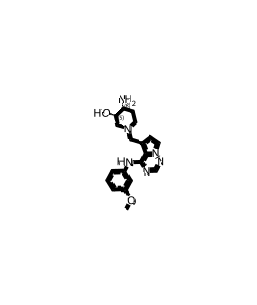 COc1cccc(Nc2ncnn3ccc(CN4CC[C@@H](N)[C@@H](O)C4)c23)c1